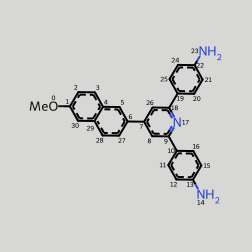 COc1ccc2cc(-c3cc(-c4ccc(N)cc4)nc(-c4ccc(N)cc4)c3)ccc2c1